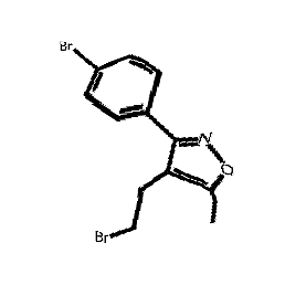 Cc1onc(-c2ccc(Br)cc2)c1CCBr